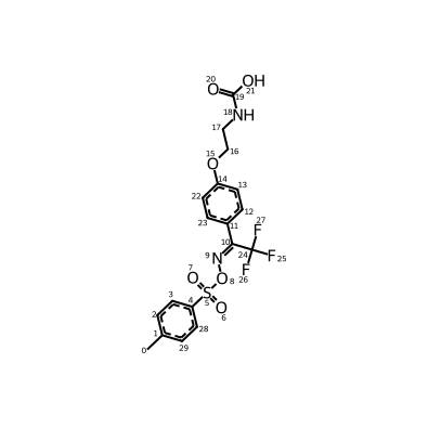 Cc1ccc(S(=O)(=O)ON=C(c2ccc(OCCNC(=O)O)cc2)C(F)(F)F)cc1